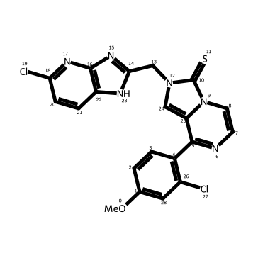 COc1ccc(-c2nccn3c(=S)n(Cc4nc5nc(Cl)ccc5[nH]4)cc23)c(Cl)c1